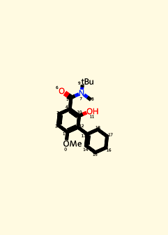 COc1ccc(C(=O)N(C)C(C)(C)C)c(O)c1C1=CCCCC1